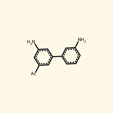 CC(=O)c1cc(N)cc(-c2cccc(N)c2)c1